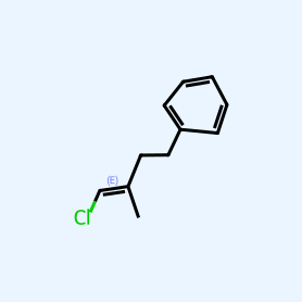 C/C(=C\Cl)CCc1ccccc1